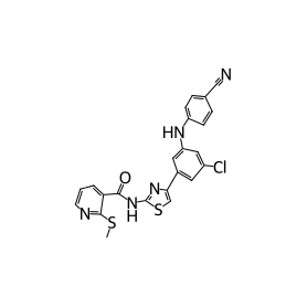 CSc1ncccc1C(=O)Nc1nc(-c2cc(Cl)cc(Nc3ccc(C#N)cc3)c2)cs1